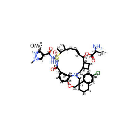 COc1nn(C)cc1C(=O)NS1(=O)=NC(=O)c2ccc3c(c2)N(CC2CCC2C(OC(=O)C(N)C(C)C)/C=C/CC(C)C1C)CC1(CCCc2cc(Cl)ccc21)CO3